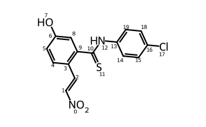 O=[N+]([O-])C=Cc1ccc(O)cc1C(=S)Nc1ccc(Cl)cc1